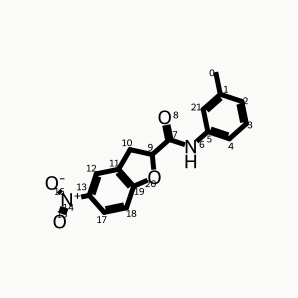 Cc1cccc(NC(=O)C2Cc3cc([N+](=O)[O-])ccc3O2)c1